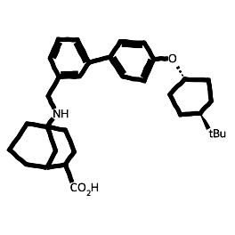 CC(C)(C)[C@H]1CC[C@H](Oc2ccc(-c3cccc(CNC45CCCC(C4)C(C(=O)O)CC5)c3)cc2)CC1